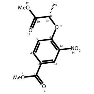 COC(=O)c1ccc(O[C@@H](C)C(=O)OC)c([N+](=O)[O-])c1